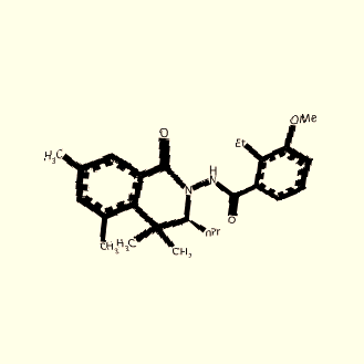 CCC[C@@H]1N(NC(=O)c2cccc(OC)c2CC)C(=O)c2cc(C)cc(C)c2C1(C)C